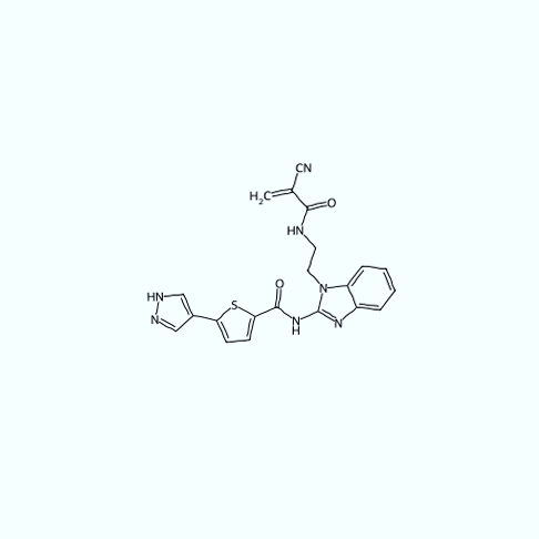 C=C(C#N)C(=O)NCCn1c(NC(=O)c2ccc(-c3cn[nH]c3)s2)nc2ccccc21